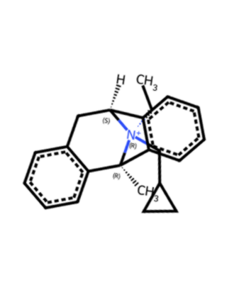 CC[N@@+]1(CC2CC2)[C@H]2Cc3ccccc3[C@]1(C)c1ccccc12